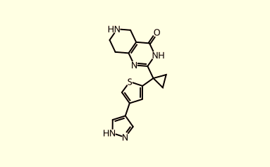 O=c1[nH]c(C2(c3cc(-c4cn[nH]c4)cs3)CC2)nc2c1CNCC2